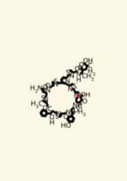 C=C(CC(=O)C(=C)NC(=O)c1csc(-c2ccc3c(n2)-c2csc(n2)-c2csc(n2)C(C(C)C(=O)CO)NC(=O)C(Cc2ccc(O)cc2)NC(=O)c2csc(n2)C(C(O)c2ccccc2)CC(=O)c2nc(sc2C)C(CC(N)=O)NC(=O)c2csc-3n2)n1)C(=O)O